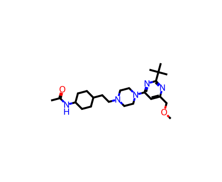 COCc1cc(N2CCN(CCC3CCC(NC(C)=O)CC3)CC2)nc(C(C)(C)C)n1